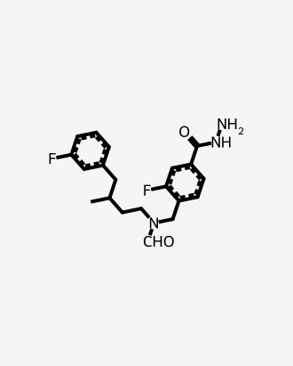 CC(CCN(C=O)Cc1ccc(C(=O)NN)cc1F)Cc1cccc(F)c1